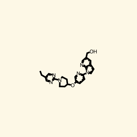 CCc1cnc(N2CCC(Oc3ccc(-n4ccc5cc(CO)cnc54)nc3)CC2)nc1